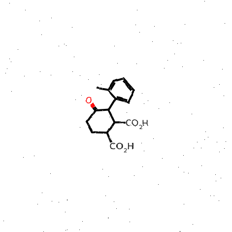 Cc1ccccc1C1C(=O)CCC(C(=O)O)C1C(=O)O